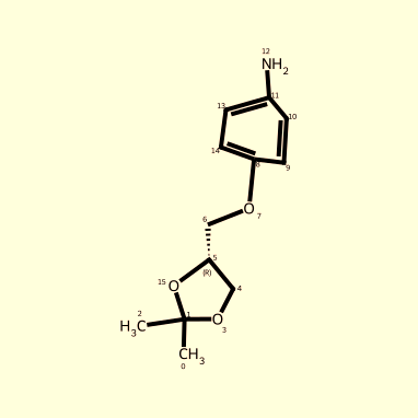 CC1(C)OC[C@@H](COc2ccc(N)cc2)O1